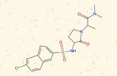 CC(C(=O)N(C)C)N1CCC(NS(=O)(=O)c2ccc3cc(Cl)ccc3c2)C1=O